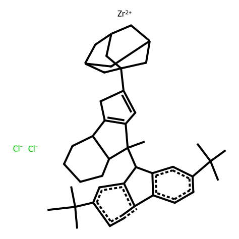 CC(C)(C)c1ccc2c(c1)C(C1(C)C3=C(CC(C45CC6CC(CC(C6)C4)C5)=C3)C3CCCCC31)c1cc(C(C)(C)C)ccc1-2.[Cl-].[Cl-].[Zr+2]